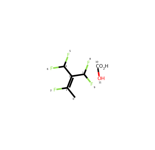 CC(F)=C(C(F)F)C(F)F.O=C(O)O